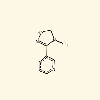 NN1CNN=C1c1cccnc1